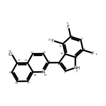 Fc1cc(F)c2[nH]cc(-c3ccc4c(Cl)cccc4n3)c2c1F